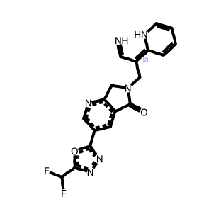 N=C/C(CN1Cc2ncc(-c3nnc(C(F)F)o3)cc2C1=O)=C1/C=CC=CN1